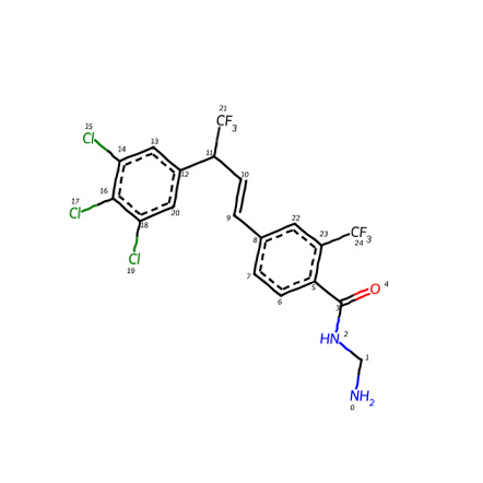 NCNC(=O)c1ccc(C=CC(c2cc(Cl)c(Cl)c(Cl)c2)C(F)(F)F)cc1C(F)(F)F